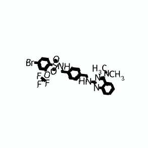 CN(C)c1nc(NCc2ccc(CNS(=O)(=O)c3ccc(Br)cc3OC(F)(F)F)cc2)nc2ccccc12